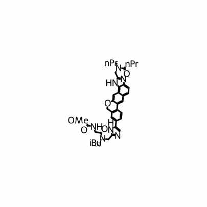 CCCC(=O)N(CCC)Cc1nc2ccc3cc4c(cc3c2[nH]1)OCc1cc(-c2cnc(CN(C(=O)CNC(=O)OC)[C@@H](C)CC)[nH]2)ccc1-4